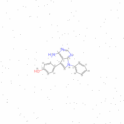 Nc1ncnc2c1c(-c1ccc(O)cc1)cn2-c1ccccc1